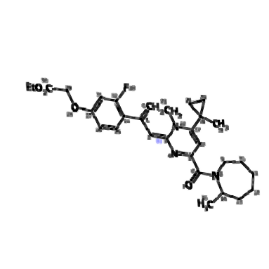 C=C(/C=C1/N=C(C(=O)N2CCCCCC2C)C=C(C2(C)CC2)N1C)c1ccc(OCC(=O)OCC)cc1F